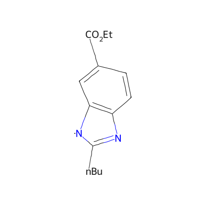 CCCCC1=Nc2ccc(C(=O)OCC)cc2[N]1